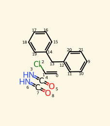 C=CCl.N=C=O.N=C=O.c1ccc(Cc2ccccc2)cc1